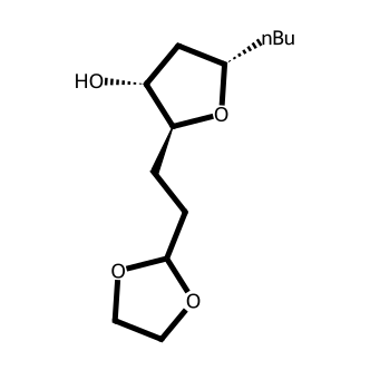 CCCC[C@H]1C[C@@H](O)[C@H](CCC2OCCO2)O1